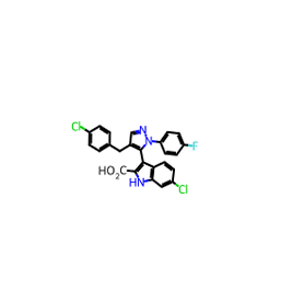 O=C(O)c1[nH]c2cc(Cl)ccc2c1-c1c(Cc2ccc(Cl)cc2)cnn1-c1ccc(F)cc1